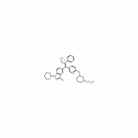 O=C(O)N1CCC[C@@H](Oc2ccc(/C(=C(/CC(F)(F)F)c3ccccc3)c3ccc4c(c3)c(F)nn4C3CCCCO3)cn2)C1